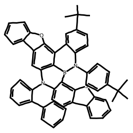 CC(C)(C)c1ccc(N2B3c4c(cc5c(oc6ccccc65)c4-c4cc(C(C)(C)C)ccc42)N(c2ccccc2-c2ccccc2)c2ccc4c(sc5ccccc54)c23)cc1